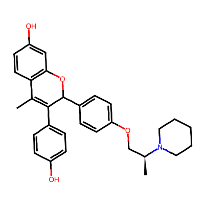 CC1=C(c2ccc(O)cc2)C(c2ccc(OC[C@H](C)N3CCCCC3)cc2)Oc2cc(O)ccc21